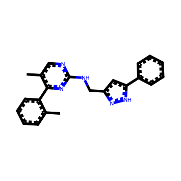 Cc1ccccc1-c1nc(NCc2cc(-c3ccccc3)[nH]n2)ncc1C